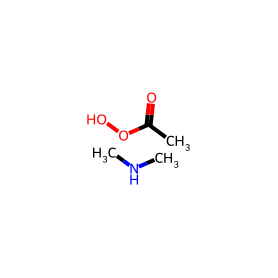 CC(=O)OO.CNC